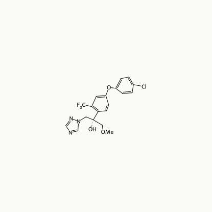 COC[C@@](O)(Cn1cncn1)c1ccc(Oc2ccc(Cl)cc2)cc1C(F)(F)F